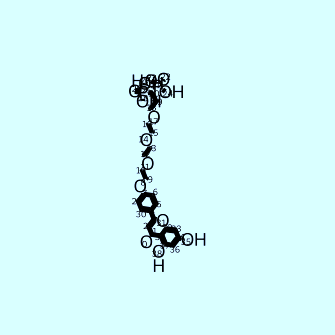 O=c1cc(-c2ccc(OCCOCCOCCOCCC(P(=O)(O)O)P(=O)(O)O)cc2)oc2cc(O)cc(O)c12